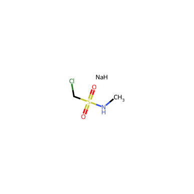 CNS(=O)(=O)CCl.[NaH]